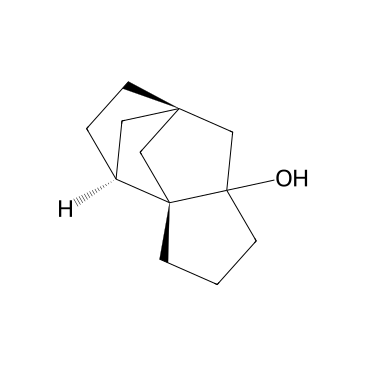 OC12CCC[C@@]13C[C@@]1(CC[C@H]3C1)C2